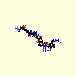 NCc1ccc(F)c(NC(=O)Nc2ccc(Oc3ccnc(-c4cc(C(=O)NCCCC(N)=O)c[nH]4)c3)cc2)c1